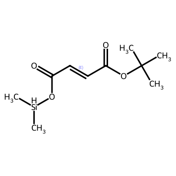 C[SiH](C)OC(=O)/C=C/C(=O)OC(C)(C)C